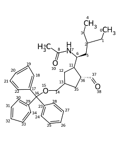 CCC(CC)C[C@H](NC(C)=O)C1CC(COC(c2ccccc2)(c2ccccc2)c2ccccc2)C[C@H]1C=O